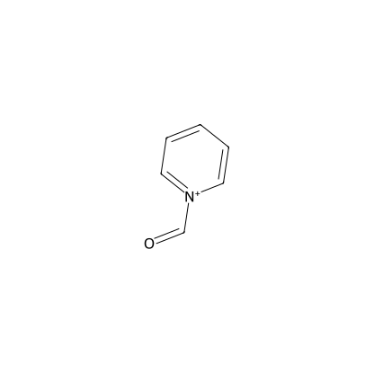 O=C[n+]1ccccc1